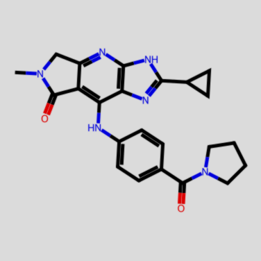 CN1Cc2nc3[nH]c(C4CC4)nc3c(Nc3ccc(C(=O)N4CCCC4)cc3)c2C1=O